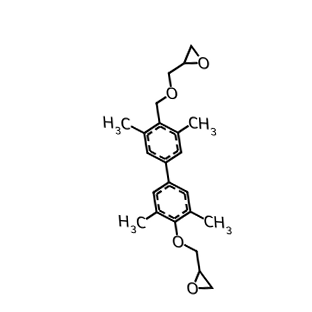 Cc1cc(-c2cc(C)c(OCC3CO3)c(C)c2)cc(C)c1COCC1CO1